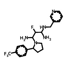 NC(NCc1cccnc1)C(F)C(N)N1CCCC1c1ccc(C(F)(F)F)cc1